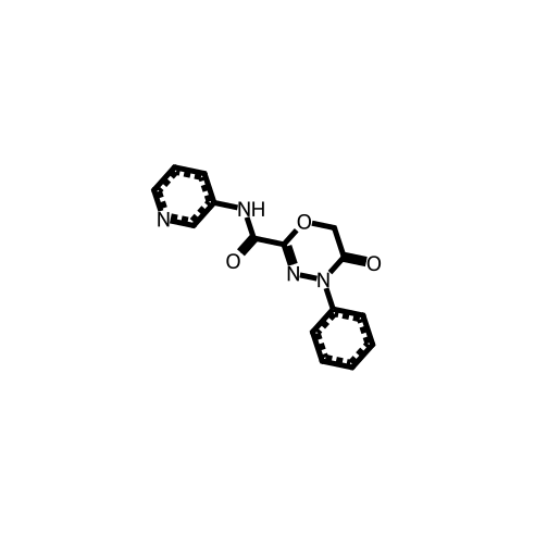 O=C(Nc1cccnc1)C1=NN(c2ccccc2)C(=O)CO1